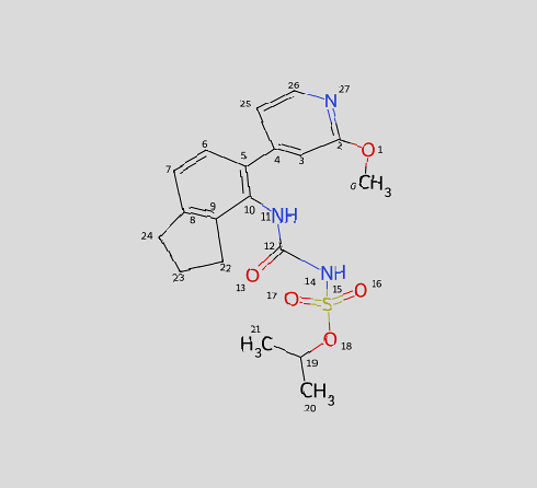 COc1cc(-c2ccc3c(c2NC(=O)NS(=O)(=O)OC(C)C)CCC3)ccn1